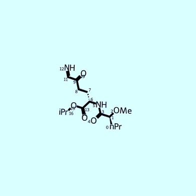 CCC[C@H](OC)C(=O)N[C@@H](CCC(=O)C=N)C(=O)OC(C)C